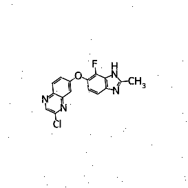 Cc1nc2ccc(Oc3ccc4ncc(Cl)nc4c3)c(F)c2[nH]1